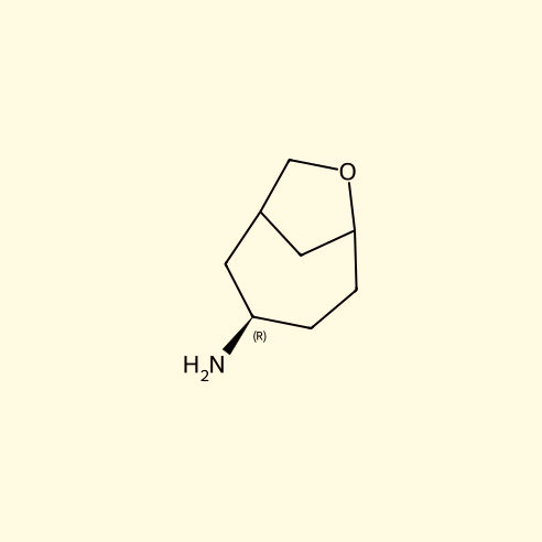 N[C@@H]1CCC2CC(CO2)C1